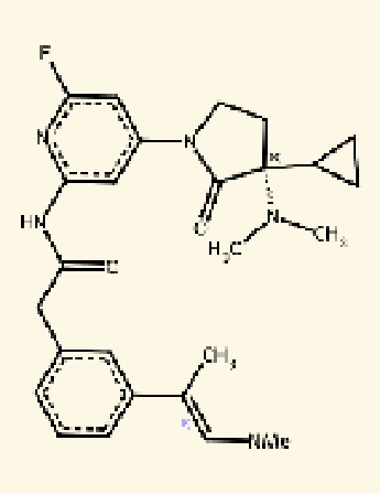 CN/C=C(\C)c1cccc(CC(=O)Nc2cc(N3CC[C@](C4CC4)(N(C)C)C3=O)cc(F)n2)c1